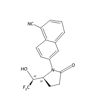 N#Cc1cccc2cc(N3C(=O)CC[C@H]3[C@H](O)C(F)(F)F)ccc12